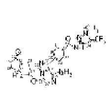 Cn1nc(NC(=O)c2ccc(-c3nc([C@@H]4CC[C@H]5CCC(=O)N5C4)n4c(Cl)cnc(N)c34)cc2)cc1C(F)(F)F